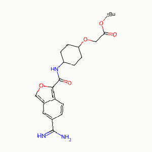 CC(C)(C)OC(=O)COC1CCC(NC(=O)c2occ3cc(C(=N)N)ccc23)CC1